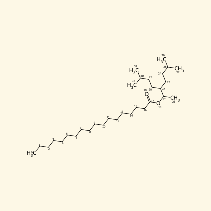 CCCCCCCCCCCCCCCCCC(=O)OC(C)C(CCC(C)C)CCC(C)C